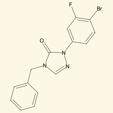 O=c1n(Cc2ccccc2)cnn1-c1ccc(Br)c(F)c1